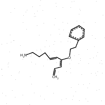 C=C/C=C(\C=C\CCCN)OCCc1ccccc1